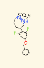 O=C(O)N1CCCC(c2c(F)cc(OCc3ccccc3)cc2F)CN1